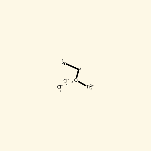 CC(C)C[O][Ti+2].[Cl-].[Cl-]